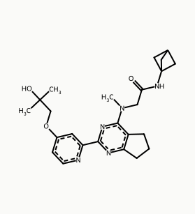 CN(CC(=O)NC12CC(C1)C2)c1nc(-c2cc(OCC(C)(C)O)ccn2)nc2c1CCC2